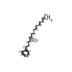 CCCCCCCCCCCCCCCCc1ccncc1.Cl